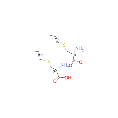 C/C=C/SC[C@H](N)C(=O)O.C/C=C/SC[C@H](N)C(=O)O